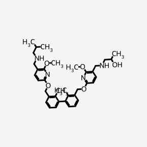 COc1nc(OCc2cccc(-c3cccc(COc4ccc(CNCC(C)O)c(OC)n4)c3C)c2C)ccc1CNCC(C)C